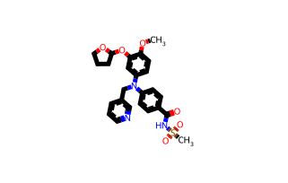 COc1ccc(N(Cc2cccnc2)c2ccc(C(=O)NS(C)(=O)=O)cc2)cc1OC1CCCO1